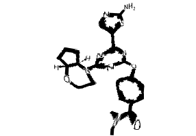 CN(C)C(=O)c1ccc(Oc2nc(-c3cnc(N)s3)nc(N3CCO[C@@H]4CCC[C@H]43)n2)cc1